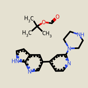 CC(C)(C)OC=O.c1cc(-c2cnc3[nH]ccc3c2)cc(N2CCNCC2)n1